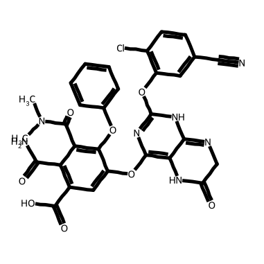 CN(C)C(=O)c1c(Oc2ccccc2)c(OC2=C3NC(=O)CN=C3NC(Oc3cc(C#N)ccc3Cl)=N2)cc(C(=O)O)c1C(N)=O